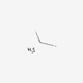 S.[CH2]CC